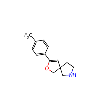 FC(F)(F)c1ccc(C2=CC3(CCNC3)CO2)cc1